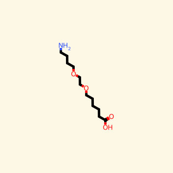 NCCCCOCCOCCCCCC(=O)O